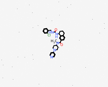 CN(C(=O)c1ccc2c(c1)C(NC(=O)NCc1ccccc1Cl)CCC2)C1CCN(c2ccncc2)CC1